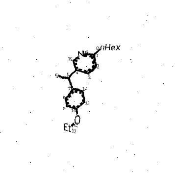 CCCCCCc1ccc(C(C)c2ccc(OCC)cc2)cn1